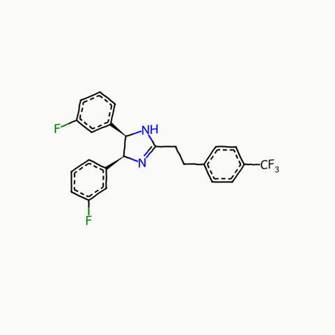 Fc1cccc([C@H]2NC(CCc3ccc(C(F)(F)F)cc3)=N[C@H]2c2cccc(F)c2)c1